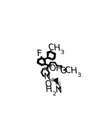 COCCCC[C@@](O)(c1cccc(F)c1-c1cccc(C)c1)[C@@H]1CCCN(C(=O)[C@@H]2C[C@H]2CN)C1